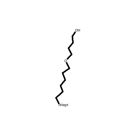 CCCCCCCCCCCCCOCCCCO